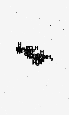 Nc1nc(N)c(NC(=O)Nc2ccc(C(=O)N[C@@H](CCc3nnn[nH]3)C(=O)O)nc2)c(=O)[nH]1